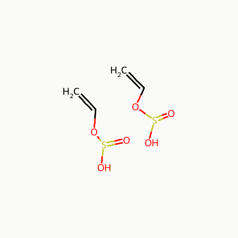 C=COS(=O)O.C=COS(=O)O